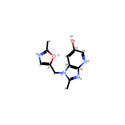 Cc1ncc(Cn2c(C)nc3ncc(Br)cc32)o1